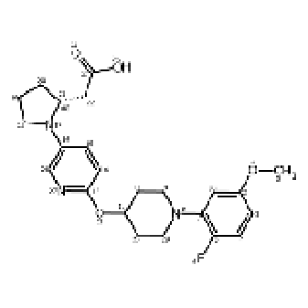 COc1ccc(F)c(N2CCC(Oc3ccc(N4CCC[C@@H]4CC(=O)O)cn3)CC2)c1